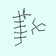 CC[N+](CC)(CC)CC.O=S(=O)([O-])C(F)(F)C(F)(F)C(F)(F)C(F)(F)C(F)(F)CF